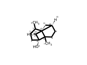 CC1CC[C@]2(O)C3(C)CC[C@@H]4C[C@]13C42C